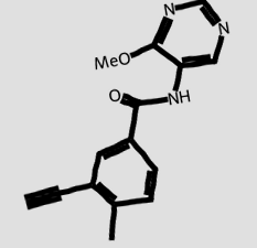 C#Cc1cc(C(=O)Nc2cncnc2OC)ccc1C